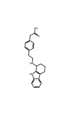 O=C(O)Cc1ccc(CCNC2CCCc3c2[nH]c2ccccc32)cc1